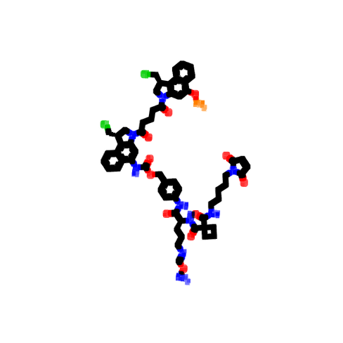 NOC=NCCC[C@H](NC(=O)C1(C(=O)NCCCCCN2C(=O)C=CC2=O)CCC1)C(=O)Nc1ccc(COC(=O)Nc2cc3c(c4ccccc24)[C@H](CCl)CN3C(=O)CCCC(=O)N2C[C@@H](CCl)c3c2cc(OP)c2ccccc32)cc1